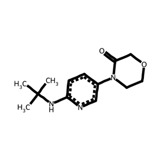 CC(C)(C)Nc1ccc(N2CCOCC2=O)cn1